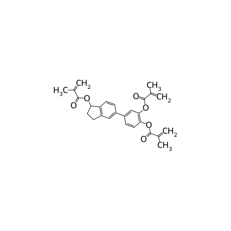 C=C(C)C(=O)Oc1ccc(-c2ccc3c(c2)CCC3OC(=O)C(=C)C)cc1OC(=O)C(=C)C